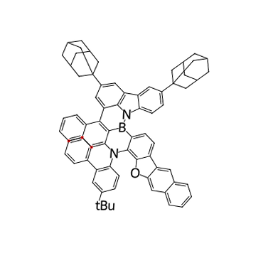 CC(C)(C)c1ccc(N2c3cc4ccccc4c4c3B(c3ccc5c(oc6cc7ccccc7cc65)c32)n2c3ccc(C56CC7CC(CC(C7)C5)C6)cc3c3cc(C56CC7CC(CC(C7)C5)C6)cc-4c32)c(-c2ccccc2)c1